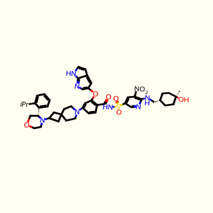 CC(C)c1ccccc1[C@H]1COCCN1C1CC2(CCN(c3ccc(C(=O)NS(=O)(=O)c4cnc(NC[C@H]5CC[C@](C)(O)CC5)c([N+](=O)[O-])c4)c(Oc4cnc5[nH]ccc5c4)c3)CC2)C1